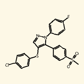 CS(=O)(=O)c1ccc(-c2c(Sc3ccc(Cl)cc3)cnn2-c2ccc(F)cc2)cc1